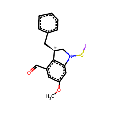 COc1cc(C=O)c2c(c1)N(SI)C[C@@H]2Cc1ccccc1